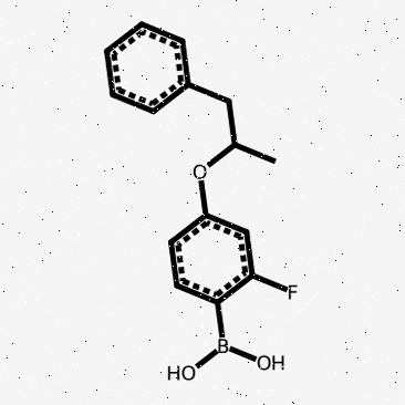 CC(Cc1ccccc1)Oc1ccc(B(O)O)c(F)c1